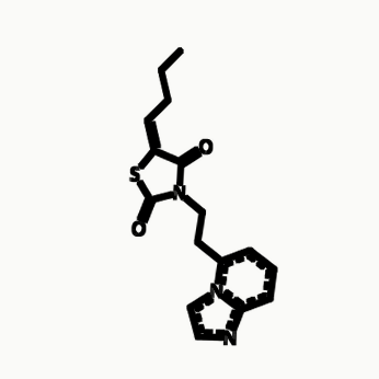 CCC/C=C1/SC(=O)N(CCc2cccc3nccn23)C1=O